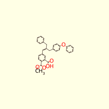 COC(=O)c1ccc(C=C(Cc2ccccc2)Cc2ccc(Oc3ccccc3)cc2)cc1C(=O)O